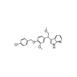 COCC(c1ccc(OCc2ccc(Cl)cc2)c(OC)c1)c1c[nH]c2ncccc12